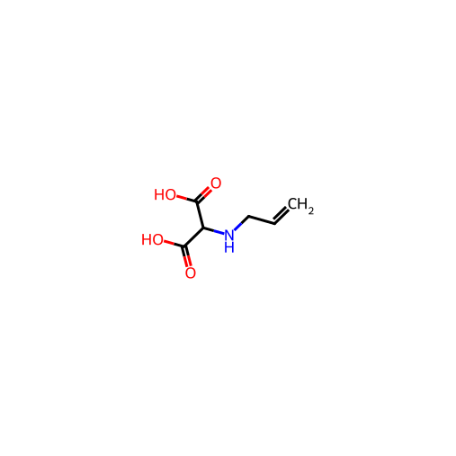 C=CCNC(C(=O)O)C(=O)O